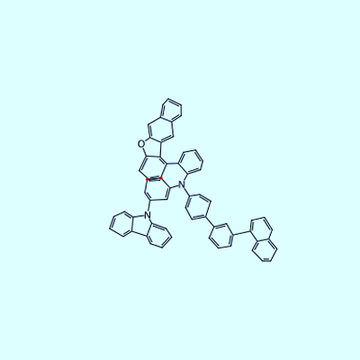 c1cc(-c2ccc(N(c3cccc(-n4c5ccccc5c5ccccc54)c3)c3ccccc3-c3cccc4oc5cc6ccccc6cc5c34)cc2)cc(-c2cccc3ccccc23)c1